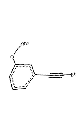 CCC#Cc1cccc(OCCCC)c1